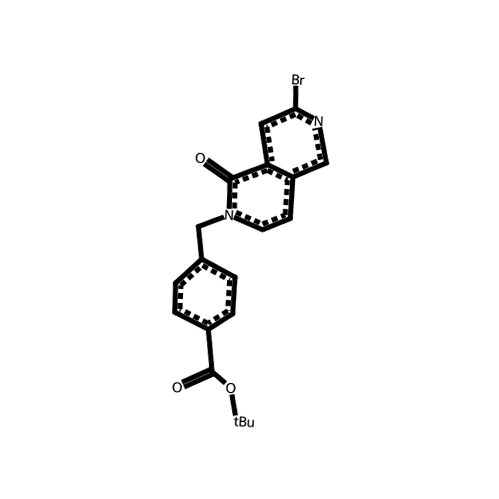 CC(C)(C)OC(=O)c1ccc(Cn2ccc3cnc(Br)cc3c2=O)cc1